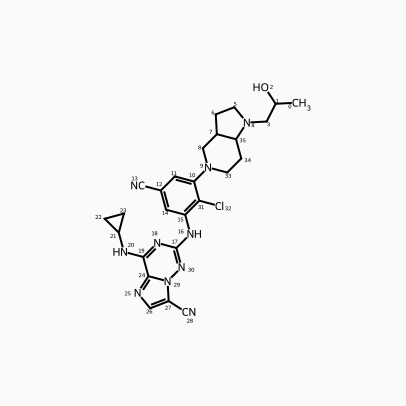 CC(O)CN1CCC2CN(c3cc(C#N)cc(Nc4nc(NC5CC5)c5ncc(C#N)n5n4)c3Cl)CCC21